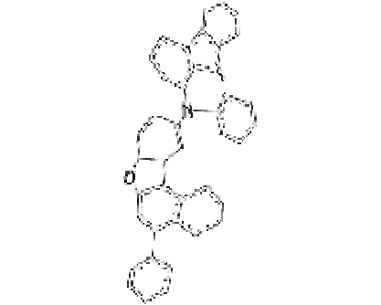 C1=CC2Oc3cc(-c4ccccc4)c4ccccc4c3C2C=C1N(c1ccccc1)c1cccc2c1sc1ccccc12